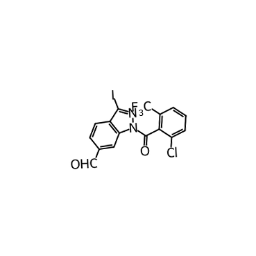 O=Cc1ccc2c(I)nn(C(=O)c3c(Cl)cccc3C(F)(F)F)c2c1